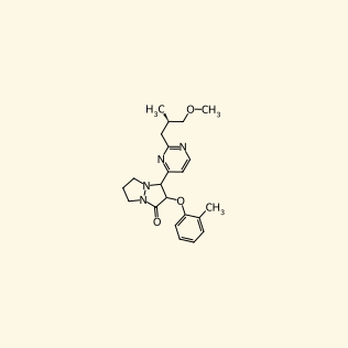 COC[C@H](C)Cc1nccc(C2C(Oc3ccccc3C)C(=O)N3CCCN23)n1